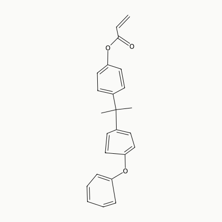 C=CC(=O)Oc1ccc(C(C)(C)c2ccc(Oc3ccccc3)cc2)cc1